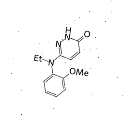 CCN(c1ccc(=O)[nH]n1)c1ccccc1OC